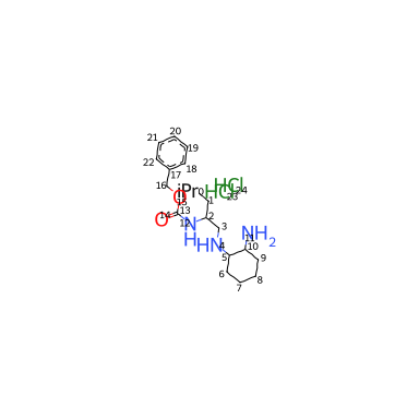 CC(C)CC(CNC1CCCCC1N)NC(=O)OCc1ccccc1.Cl.Cl